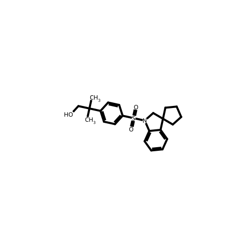 CC(C)(CO)c1ccc(S(=O)(=O)N2CC3(CCCC3)c3ccccc32)cc1